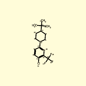 CC(C)(C)C1CCN(c2ccc(Cl)c(C(F)(F)F)n2)CC1